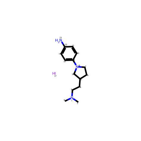 CN(C)CCC1CCN(c2ccc(N)cc2)C1.I